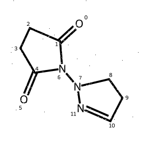 O=C1CCC(=O)N1N1CCC=N1